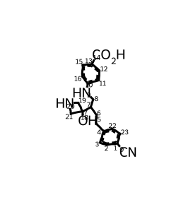 N#Cc1ccc(CCC(CNc2ccc(C(=O)O)cc2)C2(O)CNC2)cc1